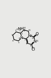 N[C@@]12CCCCN1c1cc(Cl)nc(=O)n1CC2